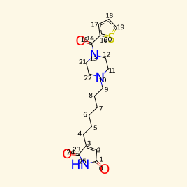 O=C1C=C(CCCCCCN2CCN(C(=O)c3cccs3)CC2)C(=O)N1